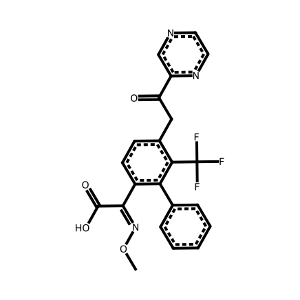 CON=C(C(=O)O)c1ccc(CC(=O)c2cnccn2)c(C(F)(F)F)c1-c1ccccc1